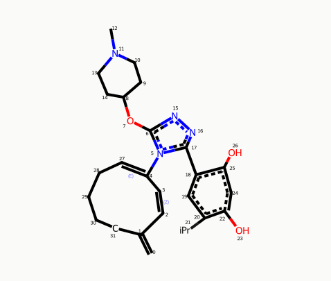 C=C1/C=C\C(n2c(OC3CCN(C)CC3)nnc2-c2cc(C(C)C)c(O)cc2O)=C/CCCC1